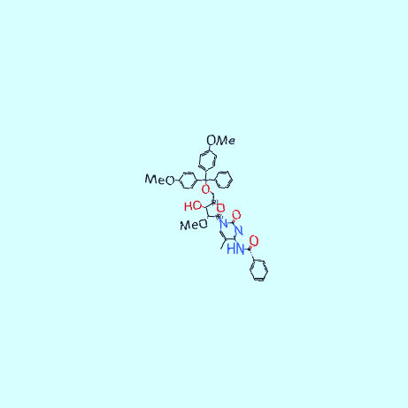 COc1ccc(C(OC[C@H]2O[C@@H](n3cc(C)c(NC(=O)c4ccccc4)nc3=O)C(OC)C2O)(c2ccccc2)c2ccc(OC)cc2)cc1